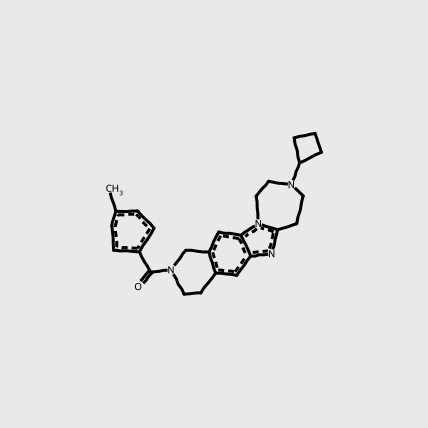 Cc1ccc(C(=O)N2CCc3cc4nc5n(c4cc3C2)CCN(C2CCC2)CC5)cc1